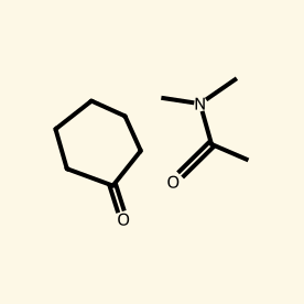 CC(=O)N(C)C.O=C1CCCCC1